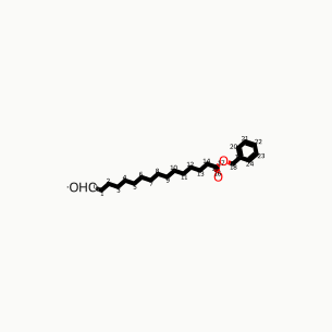 O=[C]CCCCCCCCCCCCCCC(=O)OCc1ccccc1